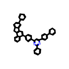 C1=CC(c2ccc(-c3cc(-c4ccc(-c5cc6c(c7ccccc57)Cc5ccc(-c7ccccc7)cc5-6)cc4)nc(-c4ccccc4)n3)cc2)=CCC1